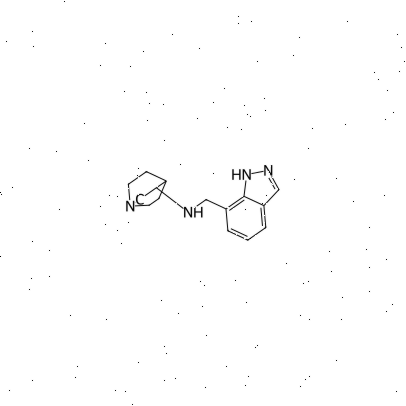 c1cc(CNC2CN3CCC2CC3)c2[nH]ncc2c1